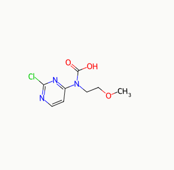 COCCN(C(=O)O)c1ccnc(Cl)n1